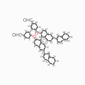 O=Cc1ccc(Oc2ccc3cc(-c4ccc5ccccc5c4)ccc3c2-c2c(Oc3ccc(C=O)cc3)ccc3cc(-c4ccc5ccccc5c4)ccc23)cc1